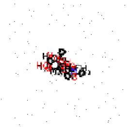 CC(=O)O[C@H]1C(=O)[C@@]2(C)[C@H]([C@H](OC(=O)c3ccccc3)[C@]3(O)C[C@H](OC(=O)[C@@H]4O[C@H](C)N(C(=O)c5ccccc5)[C@H]4c4ccccc4)C(C)=C1C3(C)C)[C@]1(OC(C)=O)CO[C@@H]1C[C@@H]2O